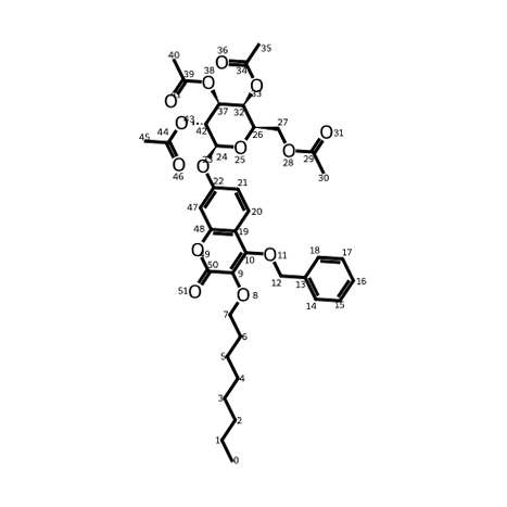 CCCCCCCCOc1c(OCc2ccccc2)c2ccc(O[C@@H]3O[C@H](COC(C)=O)[C@H](OC(C)=O)[C@H](OC(C)=O)[C@H]3OC(C)=O)cc2oc1=O